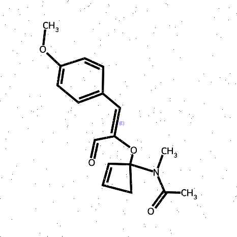 COc1ccc(/C=C(\C=O)OC2(N(C)C(C)=O)C=CC2)cc1